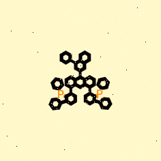 c1ccc(-c2cc(-c3c4cccc(-c5cccc6c7ccccc7p(-c7ccccc7)c56)c4cc4c(-c5cccc6c7ccccc7p(-c7ccccc7)c56)cccc34)cc3ccccc23)cc1